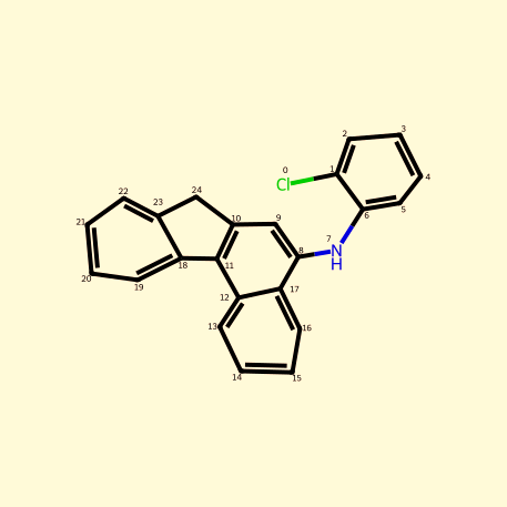 Clc1ccccc1Nc1cc2c(c3ccccc13)-c1ccccc1C2